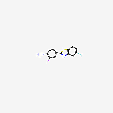 Nc1ccc(-c2nc3cc(F)ccc3s2)cc1I